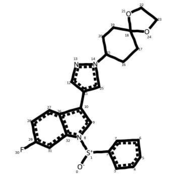 [O-][S+](c1ccccc1)n1cc(-c2cnn(C3CCC4(CC3)OCCO4)c2)c2ccc(F)cc21